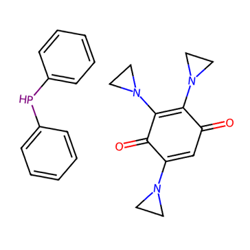 O=C1C=C(N2CC2)C(=O)C(N2CC2)=C1N1CC1.c1ccc(Pc2ccccc2)cc1